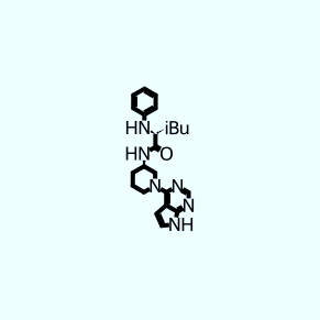 CC[C@@H](C)[C@@H](Nc1ccccc1)C(=O)N[C@@H]1CCCN(c2ncnc3[nH]ccc23)C1